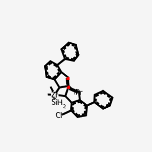 CC1=Cc2c(-c3ccccc3)ccc(Cl)c2[CH]1[Zr]([CH3])([CH3])(=[SiH2])[CH]1C(C(C)C)=Cc2c(-c3ccccc3)cccc21